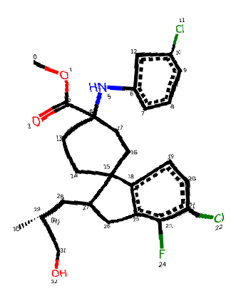 COC(=O)C1(Nc2cccc(Cl)c2)CCC2(CC1)c1ccc(Cl)c(F)c1CC2C[C@@H](C)CO